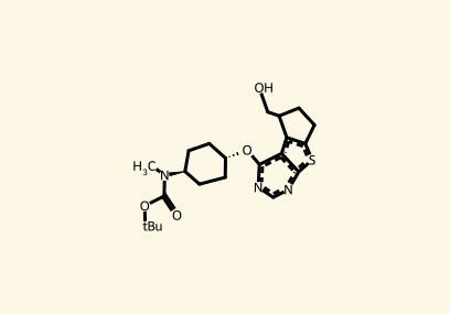 CN(C(=O)OC(C)(C)C)[C@H]1CC[C@H](Oc2ncnc3sc4c(c23)C(CO)CC4)CC1